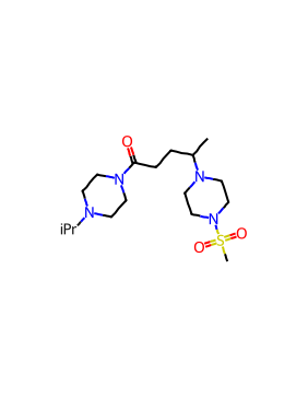 CC(C)N1CCN(C(=O)CCC(C)N2CCN(S(C)(=O)=O)CC2)CC1